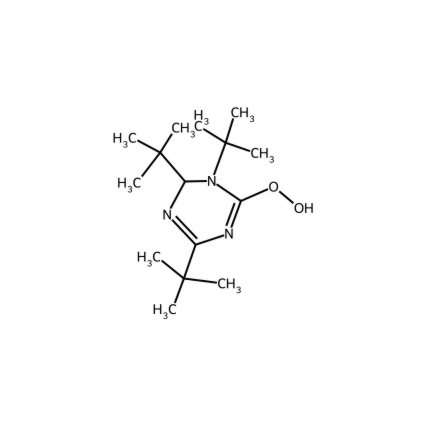 CC(C)(C)C1=NC(C(C)(C)C)N(C(C)(C)C)C(OO)=N1